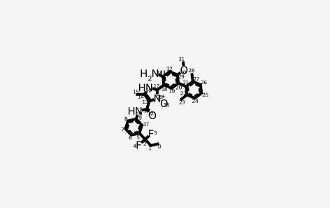 CCC(F)(F)c1cccc(NC(=O)C2=C(C)NC(c3cc(-c4c(C)cccc4C)c(OC)cc3N)[N+]2=O)c1